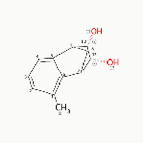 Cc1cccc2c1C1CC2[C@H](O)[C@@H]1O